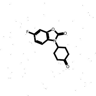 O=C1CCC(n2c(=O)oc3cc(F)ccc32)CC1